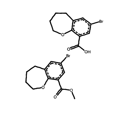 COC(=O)c1cc(Br)cc2c1OCCCC2.O=C(O)c1cc(Br)cc2c1OCCCC2